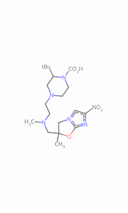 CN(CCN1CCN(C(=O)O)C(C(C)(C)C)C1)CC1(C)Cn2cc([N+](=O)[O-])nc2O1